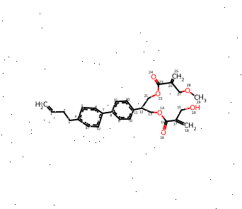 C=CCCc1ccc(-c2ccc(C(COC(=O)C(=C)CO)COC(=O)C(=C)COC)cc2)cc1